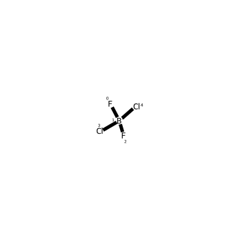 F[B-](F)(Cl)Cl